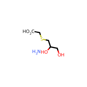 N.O=C(O)CSCC(O)CO